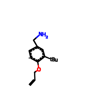 C=CCOc1[c]cc(CN)cc1C(C)(C)C